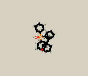 O=P(C1=C(c2ccccc2)C2C=CC1C2)(c1ccccc1)c1ccccc1